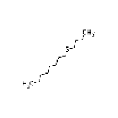 [CH2]CCCSCCCCCCCC